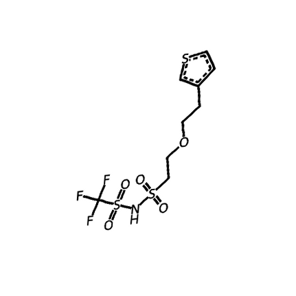 O=S(=O)(CCOCCc1ccsc1)NS(=O)(=O)C(F)(F)F